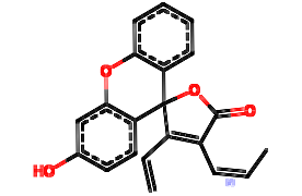 C=CC1=C(/C=C\C)C(=O)OC12c1ccccc1Oc1cc(O)ccc12